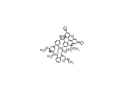 COC(=O)CN(CC(=O)OC)c1ccccc1OCCOc1cc(N(C)C(=O)c2cccc(C(=O)OC)c2-c2c3ccc(=[N+]4CCC4)cc-3oc3cc(N4CCC4)ccc23)ccc1N(CC(=O)OC)CC(=O)OC